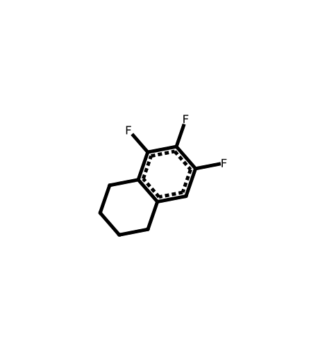 Fc1cc2c(c(F)c1F)CCCC2